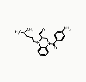 CN(C)CCCN1c2ccccc2N(C(=O)c2ccc(N)cc2)CC1C=O